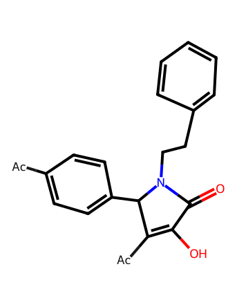 CC(=O)C1=C(O)C(=O)N(CCc2ccccc2)C1c1ccc(C(C)=O)cc1